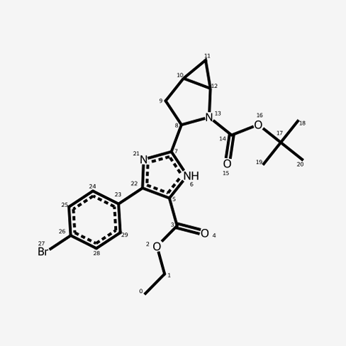 CCOC(=O)c1[nH]c(C2CC3CC3N2C(=O)OC(C)(C)C)nc1-c1ccc(Br)cc1